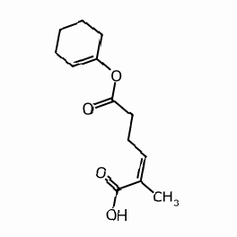 CC(=CCCC(=O)OC1=CCCCC1)C(=O)O